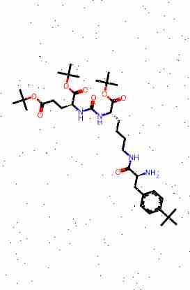 CC(C)(C)OC(=O)CC[C@H](NC(=O)N[C@@H](CCCCNC(=O)[C@@H](N)Cc1ccc(C(C)(C)C)cc1)C(=O)OC(C)(C)C)C(=O)OC(C)(C)C